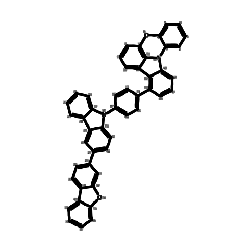 c1ccc2c(c1)Oc1cccc3c4c(-c5ccc(-n6c7ccccc7c7cc(-c8ccc9c(c8)oc8ccccc89)ccc76)cc5)cccc4n-2c13